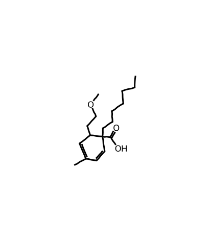 CCCCCCCC1(C(=O)O)C=CC(C)=CC1CCOC